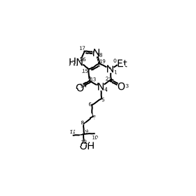 CCn1c(=O)n(CCCCC(C)(C)O)c(=O)c2[nH]cnc21